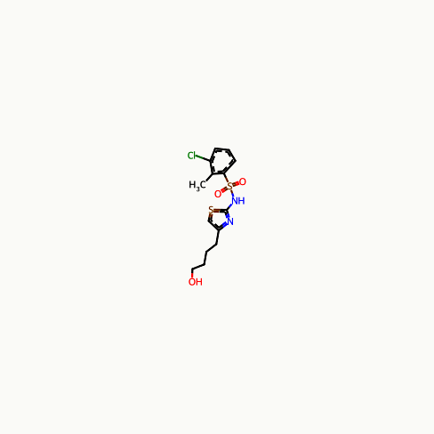 Cc1c(Cl)cccc1S(=O)(=O)Nc1nc(CCCCO)cs1